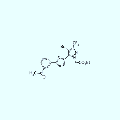 CCOC(=O)Cn1nc(C(F)(F)F)c(Br)c1-c1ccc(-c2cccc([S+](C)[O-])c2)s1